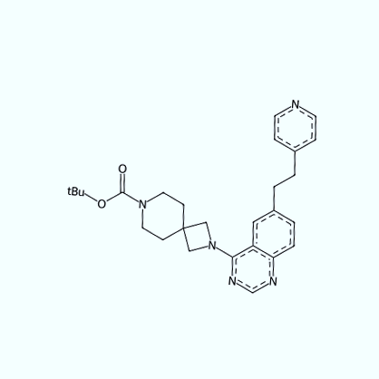 CC(C)(C)OC(=O)N1CCC2(CC1)CN(c1ncnc3ccc(CCc4ccncc4)cc13)C2